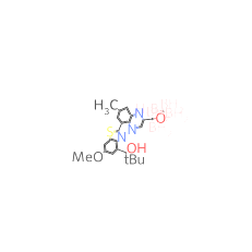 BC(B)(B)OC(B)(B)c1cnc2c(-c3nc4c(C(O)C(C)(C)C)cc(OC)cc4s3)cc(C)cc2n1